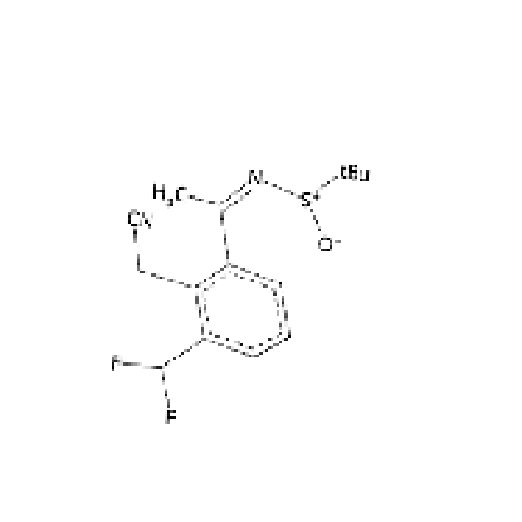 C/C(=N/[S+]([O-])C(C)(C)C)c1cccc(C(F)F)c1CC#N